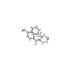 CC(C)c1ccc(C(C)N2CCOCC2(C)C)c2ccccc12